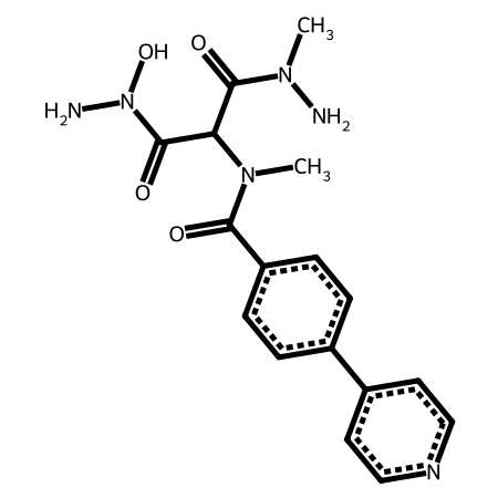 CN(N)C(=O)C(C(=O)N(N)O)N(C)C(=O)c1ccc(-c2ccncc2)cc1